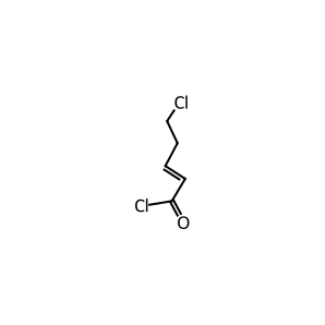 O=C(Cl)C=CCCCl